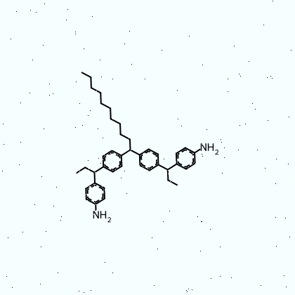 CCCCCCCCCCC(c1ccc(C(CC)c2ccc(N)cc2)cc1)c1ccc(C(CC)c2ccc(N)cc2)cc1